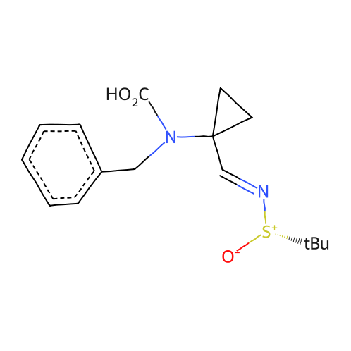 CC(C)(C)[S@+]([O-])N=CC1(N(Cc2ccccc2)C(=O)O)CC1